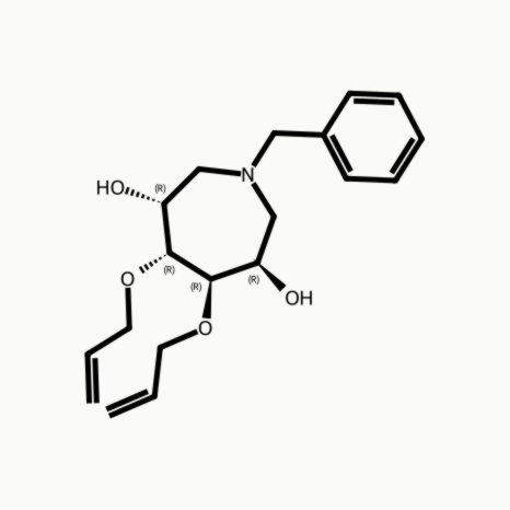 C=CCO[C@H]1[C@H](OCC=C)[C@H](O)CN(Cc2ccccc2)C[C@H]1O